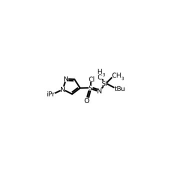 CC(C)n1cc(S(=O)(Cl)=N[Si](C)(C)C(C)(C)C)cn1